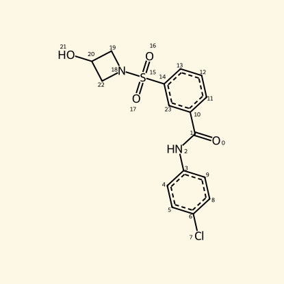 O=C(Nc1ccc(Cl)cc1)c1cccc(S(=O)(=O)N2CC(O)C2)c1